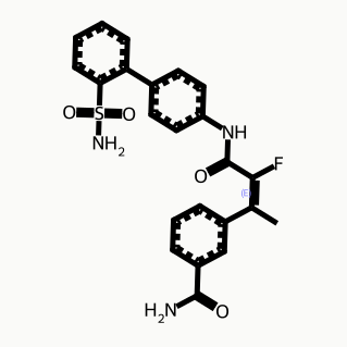 C/C(=C(\F)C(=O)Nc1ccc(-c2ccccc2S(N)(=O)=O)cc1)c1cccc(C(N)=O)c1